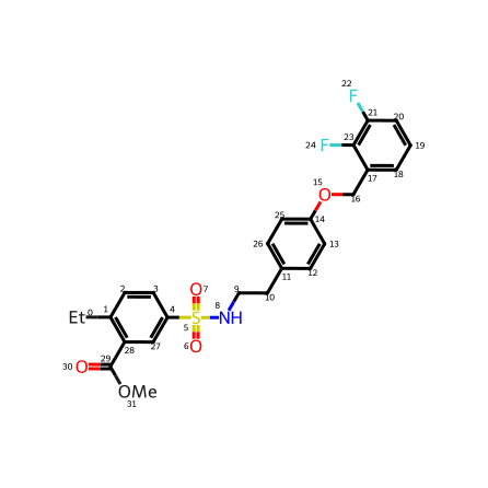 CCc1ccc(S(=O)(=O)NCCc2ccc(OCc3cccc(F)c3F)cc2)cc1C(=O)OC